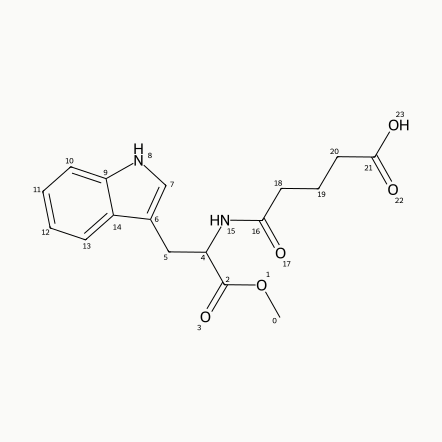 COC(=O)C(Cc1c[nH]c2ccccc12)NC(=O)CCCC(=O)O